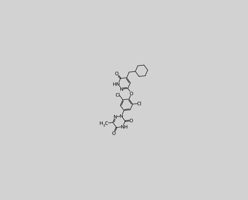 Cc1nn(-c2cc(Cl)c(Oc3cc(CC4CCCCC4)c(=O)[nH]n3)c(Cl)c2)c(=O)[nH]c1=O